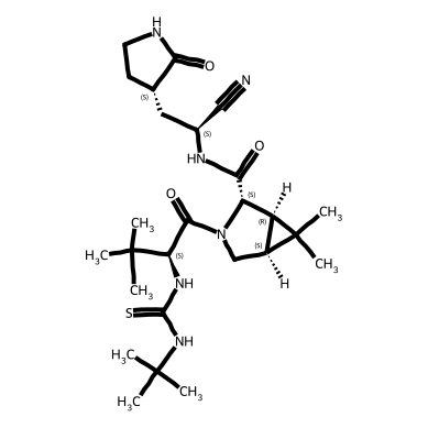 CC(C)(C)NC(=S)N[C@H](C(=O)N1C[C@H]2[C@@H]([C@H]1C(=O)N[C@H](C#N)C[C@@H]1CCNC1=O)C2(C)C)C(C)(C)C